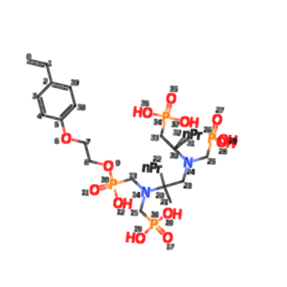 C=Cc1ccc(OCCOP(=O)(O)CN(CP(=O)(O)O)C(C)(CCC)CN(CP(=O)(O)O)C(C)(CCC)CP(=O)(O)O)cc1